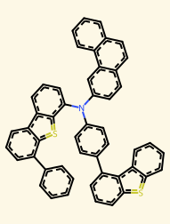 c1ccc(-c2cccc3c2sc2c(N(c4ccc(-c5cccc6sc7ccccc7c56)cc4)c4ccc5ccc6ccccc6c5c4)cccc23)cc1